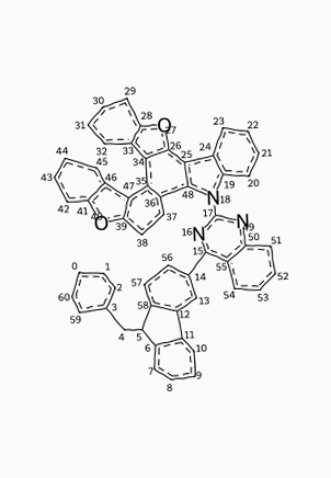 c1ccc(CC2c3ccccc3-c3cc(-c4nc(-n5c6ccccc6c6c7oc8ccccc8c7c7c(ccc8oc9ccccc9c87)c65)nc5ccccc45)ccc32)cc1